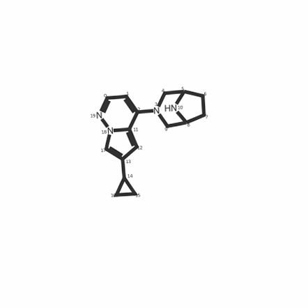 c1cc(N2CC3CCC(C2)N3)c2cc(C3CC3)cn2n1